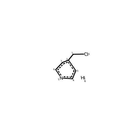 ClCc1ccncc1.I